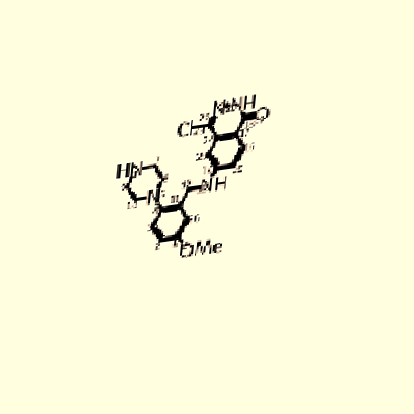 COc1ccc(N2CCNCC2)c(CNc2ccc3c(=O)[nH]nc(Cl)c3c2)c1